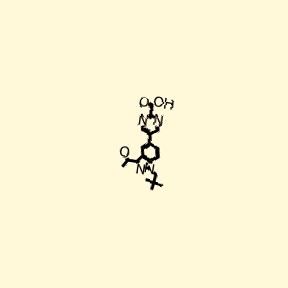 CC(=O)c1nn(CC(C)(C)C)c2ccc(-c3cnc(C(=O)O)nc3)cc12